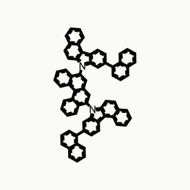 c1ccc2c(-c3ccc4c5c6ccccc6ccc5n(-c5cc6cc(-n7c8cc(-c9cccc%10ccccc9%10)ccc8c8c9ccccc9ccc87)c7ccccc7c6c6ccccc56)c4c3)cccc2c1